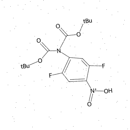 CC(C)(C)OC(=O)N(C(=O)OC(C)(C)C)c1cc(F)c([N+](=O)O)cc1F